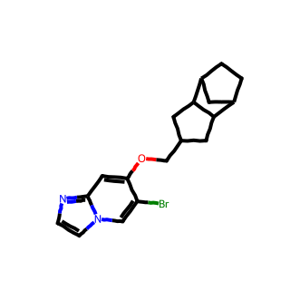 Brc1cn2ccnc2cc1OCC1CC2C3CCC(C3)C2C1